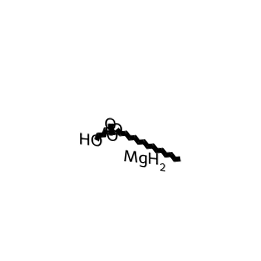 CCCCCCCCCCCCCCOS(=O)(=O)CCCO.[MgH2]